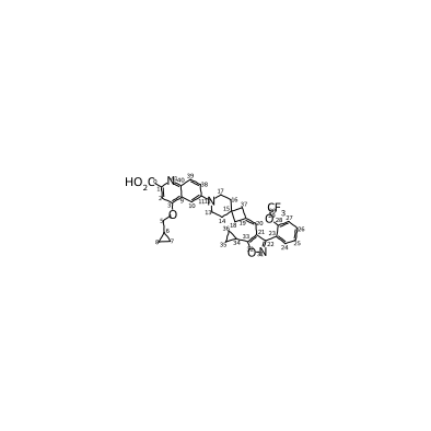 O=C(O)c1cc(OCC2CC2)c2cc(N3CCC4(CC3)CC(=Cc3c(-c5ccccc5OC(F)(F)F)noc3C3CC3)C4)ccc2n1